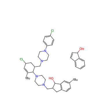 CC(C)(C)C1=CC(Cl)CC(CN2CCN(c3ccc(Cl)cc3)CC2)C1N1CCN(CC2Cc3ccc(C(C)(C)C)cc3C2O)CC1.OC1C=Cc2ccccc21